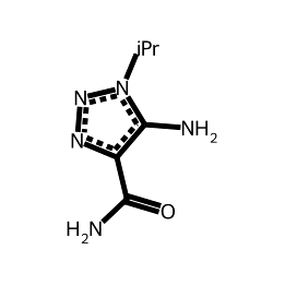 CC(C)n1nnc(C(N)=O)c1N